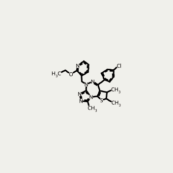 CCOc1ncccc1CN1N=C(c2ccc(Cl)cc2)C2=C(SC(C)C2C)n2c(C)nnc21